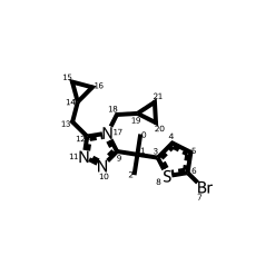 CC(C)(c1ccc(Br)s1)c1nnc(CC2CC2)n1CC1CC1